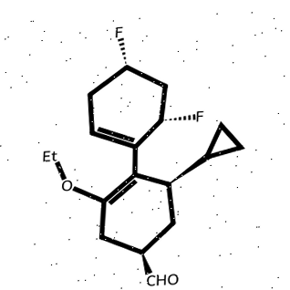 CCOC1=C(C2=CC[C@H](F)C[C@@H]2F)[C@@H](C2CC2)C[C@@H](C=O)C1